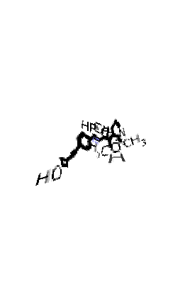 C=C(/C=C(\PC)c1ccc(C#CC2CC(O)C2)cc1)C(CC)C1CC=CN=C1[C@H](C)O